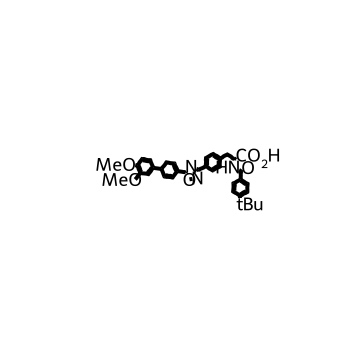 COc1ccc(C2C=CC(c3nc(-c4ccc(C[C@H](NC(=O)c5ccc(C(C)(C)C)cc5)C(=O)O)cc4)no3)=CC2)cc1OC